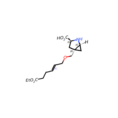 CCOC(=O)CC/C=C/COC[C@]12C[C@@H](C(=O)O)N[C@H]1C2